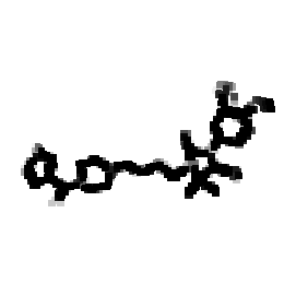 CC1(C)C(=O)N(c2ccc(C#N)c(C(F)(F)F)c2)C(=S)N1CCCCN1CCN(C(=O)c2ccoc2)CC1